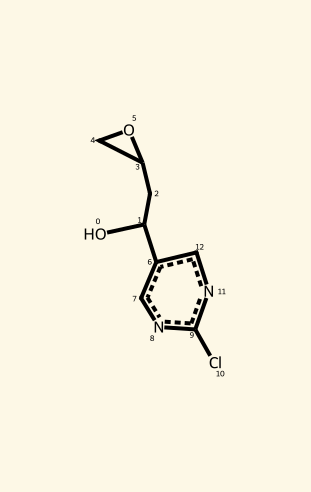 OC(CC1CO1)c1cnc(Cl)nc1